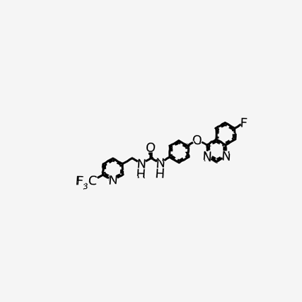 O=C(NCc1ccc(C(F)(F)F)nc1)Nc1ccc(Oc2ncnc3cc(F)ccc23)cc1